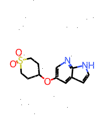 O=S1(=O)CCC(Oc2cnc3[nH]ccc3c2)CC1